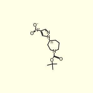 CC(C)(C)OC(=O)N1CCC[C@H](n2cc([N+](=O)[O-])cn2)CC1